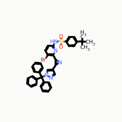 CC(C)(C)c1ccc(S(=O)(=O)Nc2ccc(Br)c(C3N=C3c3cnn(C(c4ccccc4)(c4ccccc4)c4ccccc4)c3)n2)cc1